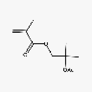 C=C(C)C(=O)OCC(C)(C)OC(C)=O